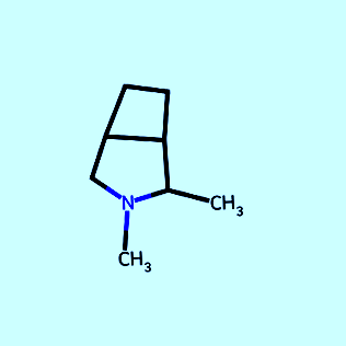 CC1C2CCC2CN1C